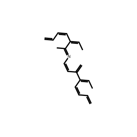 C=C/C=C\C(=CC)/C(C)=N/C=C\C(=C)C(/C=C\C=C)=C/C